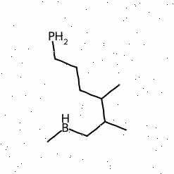 CBCC(C)C(C)CCCP